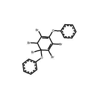 BrC1=C(Br)C(Br)(Oc2ccccc2)C(Br)C(Br)=C1Oc1ccccc1